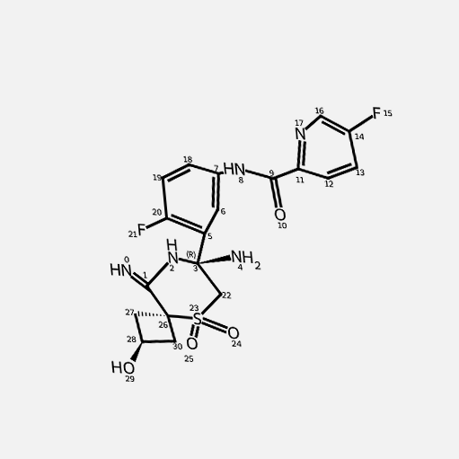 N=C1N[C@](N)(c2cc(NC(=O)c3ccc(F)cn3)ccc2F)CS(=O)(=O)[C@]12C[C@H](O)C2